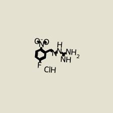 Cl.N=C(N)N/N=C/c1cc(F)ccc1[N+](=O)[O-]